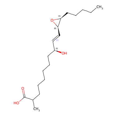 CCCCC[C@@H]1O[C@@H]1/C=C/[C@@H](O)CCCCCCC(C)C(=O)O